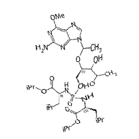 COc1nc(N)nc2c1ncn2C(C)O[C@H](COP(=O)(N[C@@H](CC(C)C)C(=O)OC(C)C)N[C@H](CC(C)C)C(=O)OC(C)C)C(O)C(C)O